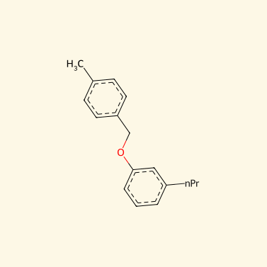 C[CH]Cc1cccc(OCc2ccc(C)cc2)c1